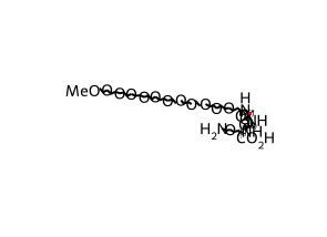 COCCOCCOCCOCCOCCOCCOCCOCCOCCOCCOCCOCCC(=O)N[C@@H](C)C(=O)N[C@@H](C)C(=O)N[C@@H](CCOCN)C(=O)O